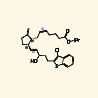 C=C1CC[C@H](/C=C/C(O)CCc2sc3ccccc3c2Cl)[C@H]1C/C=C\CCCC(=O)OC(C)C